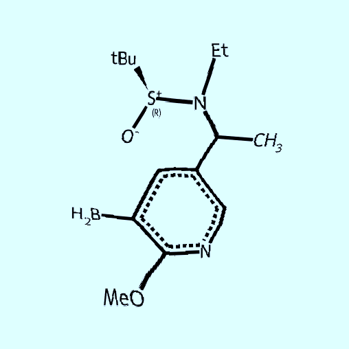 Bc1cc(C(C)N(CC)[S@@+]([O-])C(C)(C)C)cnc1OC